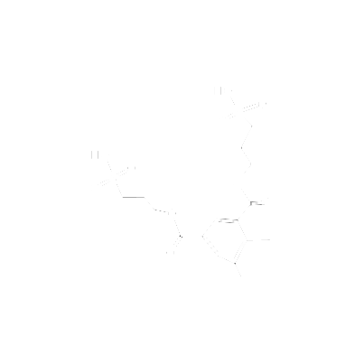 Cc1cc(C(=O)OCCCS(=O)(=O)O)cc(C(=O)OCCCS(=O)(=O)O)c1C